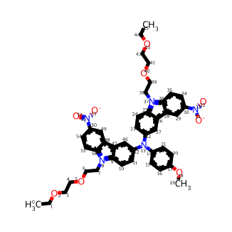 CCOCCOCCn1c2ccc(N(c3ccc(OC)cc3)c3ccc4c(c3)c3cc([N+](=O)[O-])ccc3n4CCOCCOCC)cc2c2cc([N+](=O)[O-])ccc21